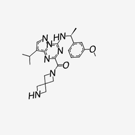 COc1cccc([C@H](C)Nc2nc(C(=O)N3CC4(CNC4)C3)nc3c(C(C)C)cnn23)c1